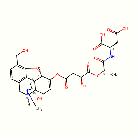 C[C@H](OC(=O)[C@@H](O)CC(=O)OC1=CC[C@@]2(O)[C@H]3Cc4ccc(CO)c5c4[C@@]2(CCN3C)[C@H]1O5)C(=O)N[C@H](CC(=O)O)C(=O)O